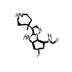 CC1(c2cnn3c2[nH]c2cc(F)cc(NC=O)c23)CCNCC1